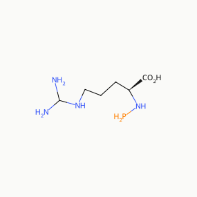 NC(N)NCCC[C@H](NP)C(=O)O